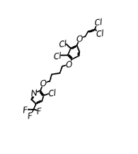 FC(F)(F)c1cnc(OCCCCOc2ccc(OCC=C(Cl)Cl)c(Cl)c2Cl)c(Cl)c1